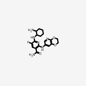 NC(=O)c1cc(F)c(NC2CCCCC2N)nc1Nc1cnc2c(c1)OCCO2